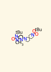 Cn1c(=O)n(CC(C)(C)C)c2ccc(N3CCCC4(CCN(C(=O)OC(C)(C)C)CC4)C3)nc21